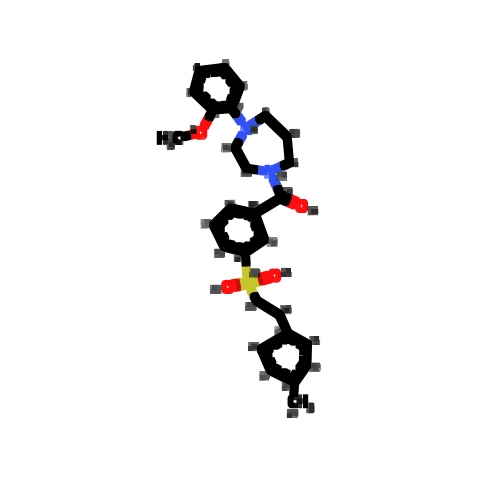 COc1ccccc1N1CCCN(C(=O)c2cccc(S(=O)(=O)CCc3ccc(C)cc3)c2)CC1